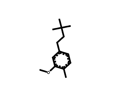 COc1cc(CCC(C)(C)C)ccc1C